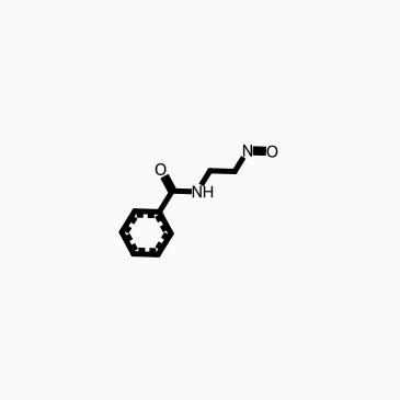 O=NCCNC(=O)c1ccccc1